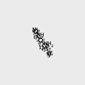 CC(C)(C(=O)N1CCCC1C(N)c1ccc(C(=O)Nc2ccncc2)cc1)c1ccsc1